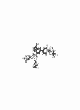 C[C@@H]1CC(c2cc(N(COCC[Si](C)(C)C)COCC[Si](C)(C)C)n3ncc(I)c3n2)=C[C@H](C)N1C(=O)OC(C)(C)C